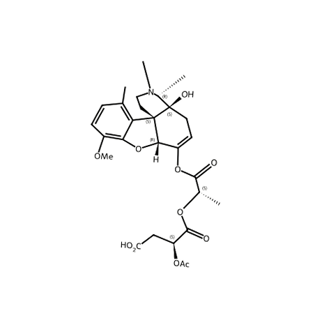 COc1ccc(C)c2c1O[C@H]1C(OC(=O)[C@H](C)OC(=O)[C@H](CC(=O)O)OC(C)=O)=CC[C@@]3(O)[C@@H](C)N(C)CC[C@]213